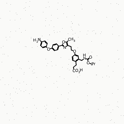 Cc1oc(-c2ccc(Oc3ccc(N)cc3)cc2)nc1CCOc1ccc(CCC(=O)O)c(CNC(=O)OC(C)C)c1